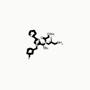 COCC(=O)N(C[C@@H](F)CN)[C@@H](c1nc(-c2ccccc2)cn1Cc1cccc(F)c1)C(C)(C)C